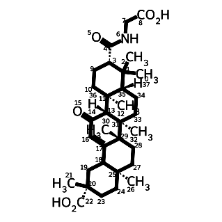 CC1(C)[C@@H](C(=O)NCC(=O)O)CC[C@]2(C)[C@H]3C(=O)C=C4C5C[C@@](C)(C(=O)O)CC[C@]5(C)CC[C@@]4(C)[C@]3(C)CC[C@@H]12